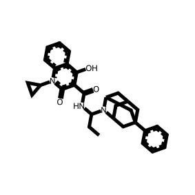 CCC(NC(=O)c1c(O)c2ccccc2n(C2CC2)c1=O)N1C2CC3CC1CC(c1ccccc1)(C3)C2